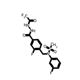 CS(=O)(=O)N(Cc1ccc(C(=O)NNC(=O)C(F)(F)F)cc1F)c1cccc(F)c1